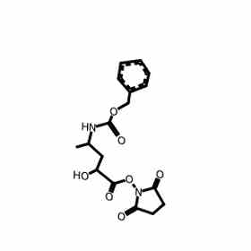 CC(CC(O)C(=O)ON1C(=O)CCC1=O)NC(=O)OCc1ccccc1